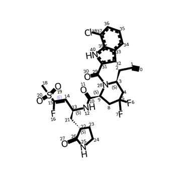 C#CC[C@H]1CC(F)(F)C[C@@H](C(=O)N[C@H](/C=C(\F)S(C)(=O)=O)C[C@@H]2CCNC2=O)N1C(=O)c1cc2cccc(Cl)c2[nH]1